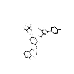 Cc1ccc(-c2nc(COC3CCCC(CN(CC(=O)O)CC4CCCCC4)C3)c(C)o2)cc1.O=C(O)C(F)(F)F